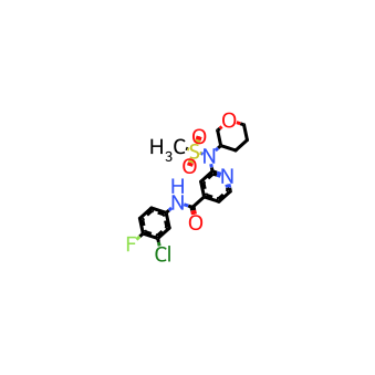 CS(=O)(=O)N(c1cc(C(=O)Nc2ccc(F)c(Cl)c2)ccn1)C1CCCOC1